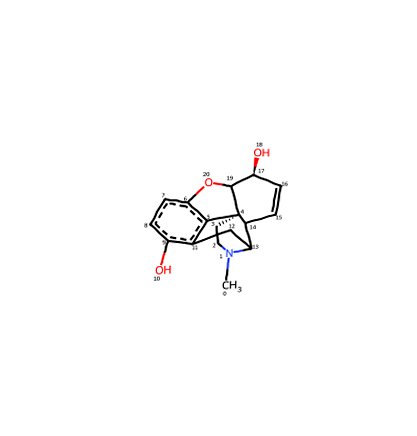 CN1CC[C@@]23c4c5ccc(O)c4CC1C2C=C[C@H](O)C3O5